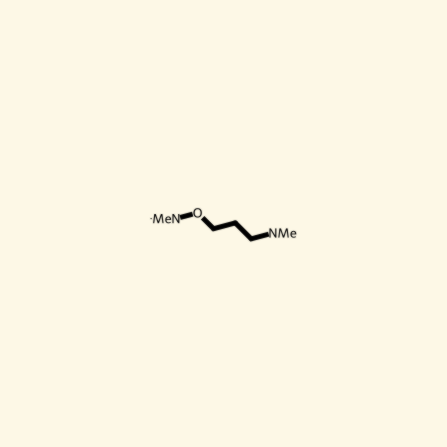 C[N]OCCCNC